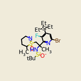 CC[Si](CC)(CC)c1cc(Br)nc(C(C)(CS2(=O)=NCCCC2C)N[S+]([O-])C(C)(C)C)c1F